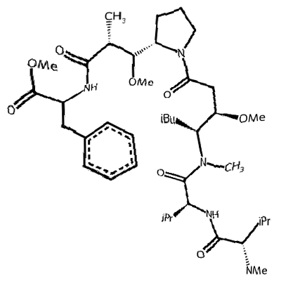 CCC(C)[C@@H]([C@@H](CC(=O)N1CCC[C@H]1C(OC)[C@@H](C)C(=O)NC(Cc1ccccc1)C(=O)OC)OC)N(C)C(=O)[C@@H](NC(=O)[C@@H](NC)C(C)C)C(C)C